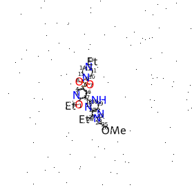 CCOc1ncc(S(=O)(=O)N2CCN(CC)CC2)cc1C1=Nc2c(nn(CCOC)c2CC)CN1